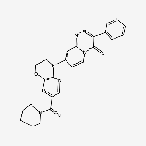 O=C(c1cnc2c(c1)OCCN2c1ccn2c(=O)c(-c3ccccc3)cnc2c1)N1CCCCC1